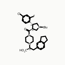 CC(C)(C)N1C[C@@H](C(=O)N2CCN([C@@H](Cc3ccc4c(c3)CCC4)C(=O)O)CC2)[C@H](c2ccc(Cl)cc2F)C1